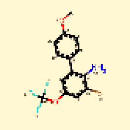 COc1ccc(-c2cc(OC(F)(F)F)cc(Br)c2N)cc1